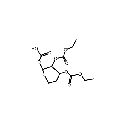 CCOC(=O)OC1CCCC(OC(=O)O)C1OC(=O)OCC